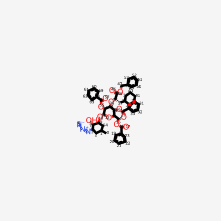 CC1CC(N=[N+]=[N-])C(O)C(OC2OC(COC(=O)c3ccccc3)C(OC(=O)c3ccccc3)C(O[C@@H](CC3CCCCC3)C(=O)OCc3ccccc3)C2OC(=O)c2ccccc2)C1